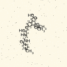 CN1CCN(C(=O)NCCNCC(O)COc2ccc(C(CC(=O)O)CC3COC(C)(C)O3)cc2)CC1